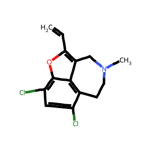 C=Cc1oc2c(Cl)cc(Cl)c3c2c1CN(C)CC3